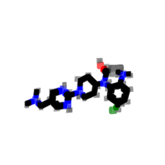 CN(C)Cc1cnc(N2CCC(N(C(=O)C=O)c3cc(Cl)ccc3N(C)C)CC2)nc1